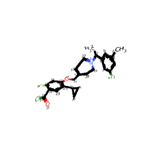 Cc1cc(Cl)cc(C(C)N2CCC(COc3cc(F)c(C(=O)Cl)cc3C3CC3)CC2)c1